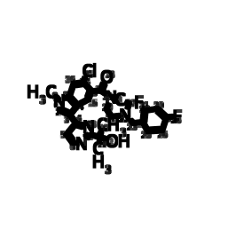 Cn1cc(-c2ccnc(C(C)(C)O)n2)c2cc(C(=O)N3CCN(Cc4ccc(F)cc4F)CC3)c(Cl)cc21